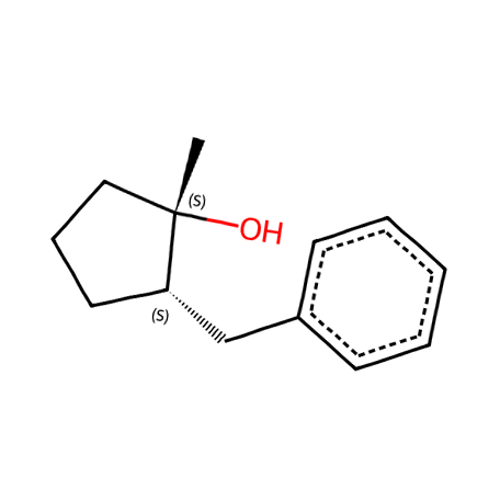 C[C@]1(O)CCC[C@H]1Cc1ccccc1